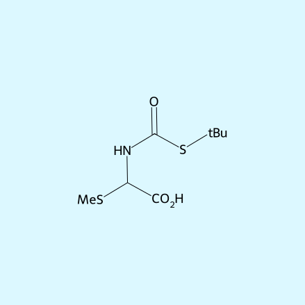 CSC(NC(=O)SC(C)(C)C)C(=O)O